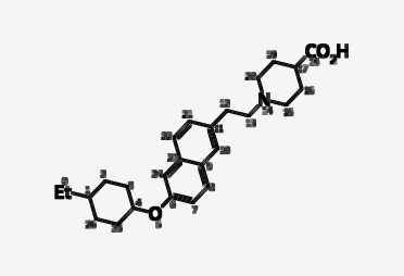 CCC1CCC(Oc2ccc3cc(CCN4CCC(C(=O)O)CC4)ccc3c2)CC1